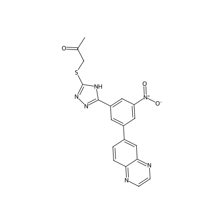 CC(=O)CSc1nnc(-c2cc(-c3ccc4nccnc4c3)cc([N+](=O)[O-])c2)[nH]1